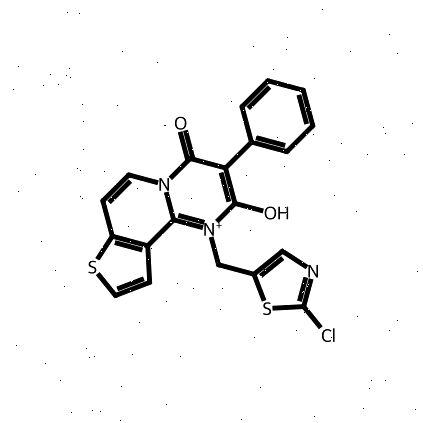 O=c1c(-c2ccccc2)c(O)[n+](Cc2cnc(Cl)s2)c2c3ccsc3ccn12